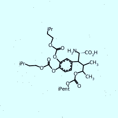 CCCC(C)OC(=O)OC(C)C(C)C(c1ccc(OC(=O)OCCC(C)C)c(OC(=O)OCCC(C)C)c1)[C@H](N)C(=O)O